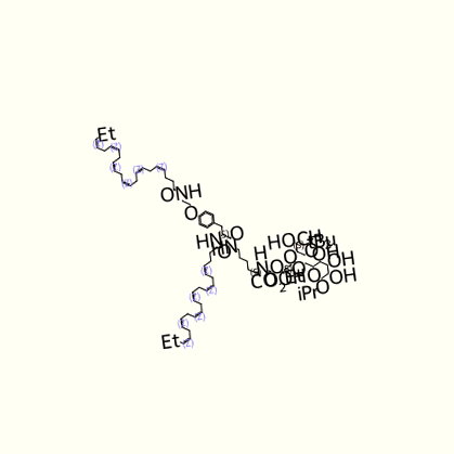 CC/C=C\C/C=C\C/C=C\C/C=C\C/C=C\C/C=C\CCC(=O)NCCOc1ccc(C[C@H](NC(=O)CC/C=C\C/C=C\C/C=C\C/C=C\C/C=C\C/C=C\CC)C(=O)NCCCC[C@H](NC(=O)O[C@H](O)C(OCC2OC(OC(C)C)C(O)C(O)C2O)OC(COC(C)(C)C)[C@H](C)O)C(=O)OCC)cc1